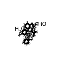 Cc1ccc(CN(C=O)C2CCC(CN(Cc3ccccc3)S(=O)(=O)c3cc(F)ccc3C)CC2)cc1